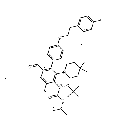 Cc1nc(C=O)c(-c2ccc(OCCc3ccc(F)cc3)cc2)c(N2CCC(C)(C)CC2)c1[C@H](OC(C)(C)C)C(=O)OC(C)C